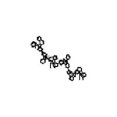 c1ccc(-n2c3ccc(-c4ccc5c6ccccc6n(-c6cc7c8c(cccc8c6)-c6cccnc6-7)c5c4)cc3c3cc(-c4ccnc5c4-c4cccc6cc(-n7c8ccccc8c8cc(-c9ccc%10c(c9)c9ccc%11ccccc%11c9n%10-c9ccccc9)ccc87)cc-5c46)ccc32)cc1